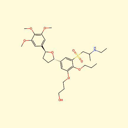 CCCOc1c(OCCCO)cc([C@@H]2CC[C@@H](c3cc(OC)c(OC)c(OC)c3)O2)cc1S(=O)(=O)CC(C)NCC